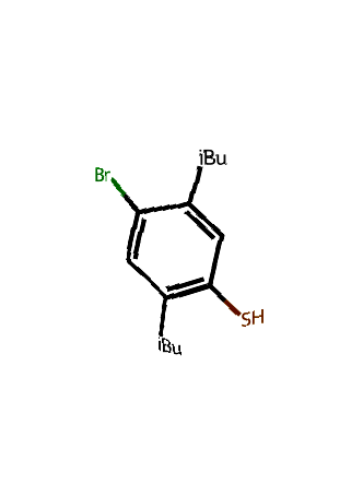 CCC(C)c1cc(Br)c(C(C)CC)cc1S